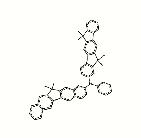 CC1(C)c2ccccc2-c2cc3c(cc21)-c1ccc(N(c2ccccc2)c2ccc4cc5c(cc4c2)C(C)(C)c2cc4ccccc4cc2-5)cc1C3(C)C